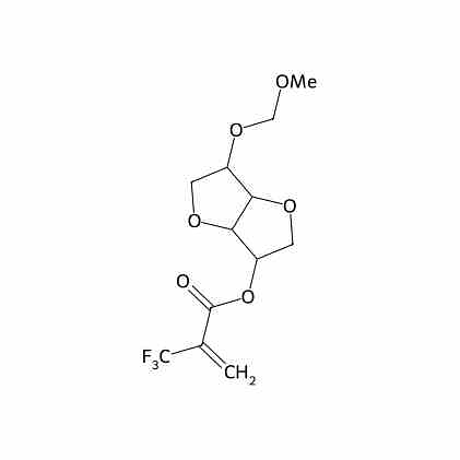 C=C(C(=O)OC1COC2C(OCOC)COC12)C(F)(F)F